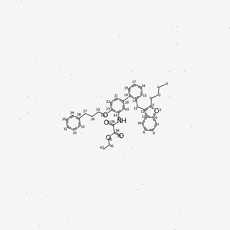 CCCCc1oc2ccccc2c1Cc1ccccc1-c1ccc(OCCCc2ccccc2)c(NC(=O)C(=O)OCC)c1